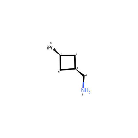 CC(C)[C@H]1C[C@@H](CN)C1